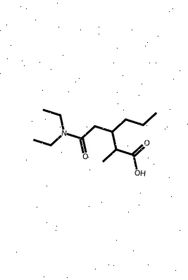 CCCC(CC(=O)N(CC)CC)C(C)C(=O)O